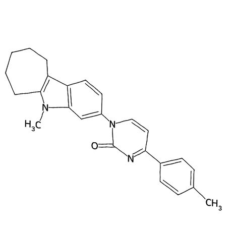 Cc1ccc(-c2ccn(-c3ccc4c5c(n(C)c4c3)CCCCC5)c(=O)n2)cc1